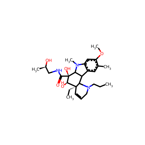 CCCN1CC=C[C@]2(CC)C1C1c3cc(C)c(OC)cc3N(C)C1[C@@](O)(C(=O)NC[C@@H](C)O)[C@@H]2O